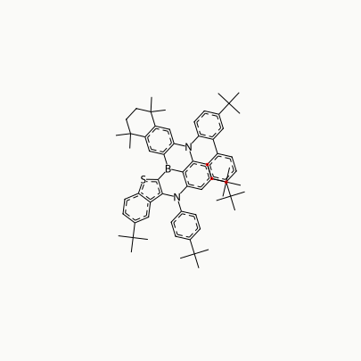 CC(C)(C)c1ccc(-c2cc(C(C)(C)C)ccc2N2c3cc4c(cc3B3c5sc6ccc(C(C)(C)C)cc6c5N(c5ccc(C(C)(C)C)cc5)c5cc(C(C)(C)C)cc2c53)C(C)(C)CCC4(C)C)cc1